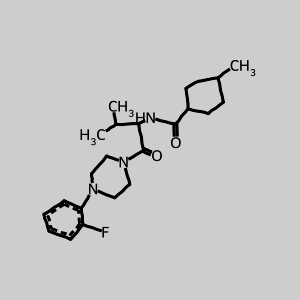 CC1CCC(C(=O)NC(C(=O)N2CCN(c3ccccc3F)CC2)C(C)C)CC1